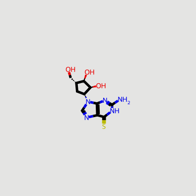 Nc1nc2c(ncn2[C@@H]2C[C@H](CO)[C@@H](O)[C@H]2O)c(=S)[nH]1